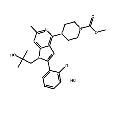 COC(=O)N1CCN(c2nc(C)nc3c2nc(-c2ccccc2Cl)n3CC(C)(C)O)CC1.Cl